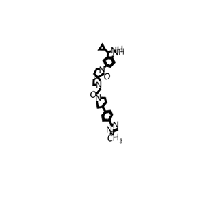 Cn1cnc(-c2ccc(C3=CCN(C(=O)CN4CC[C@]5(CCN(c6ccc7c(c6)C(C6CC6)NN7)C5=O)C4)CC3)cc2)n1